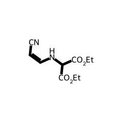 CCOC(=O)C(N/C=C\C#N)C(=O)OCC